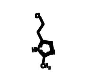 Cc1ncc(CCCl)[nH]1